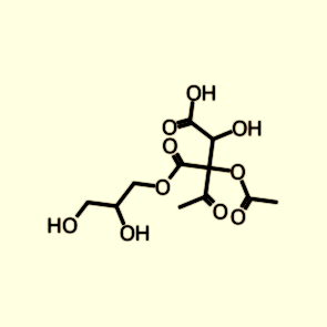 CC(=O)OC(C(C)=O)(C(=O)OCC(O)CO)C(O)C(=O)O